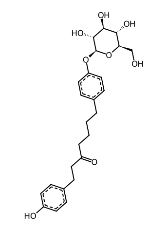 O=C(CCCCc1ccc(O[C@@H]2O[C@H](CO)[C@@H](O)[C@H](O)[C@H]2O)cc1)CCc1ccc(O)cc1